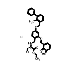 CCOC(=O)[C@@H](CO)NCc1ccc(OCc2cccc(-c3ccccc3)c2C)cc1OCc1cccc2nonc12.Cl